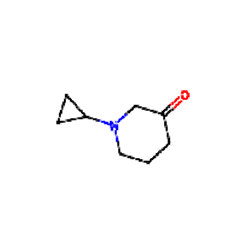 O=C1CCCN(C2CC2)C1